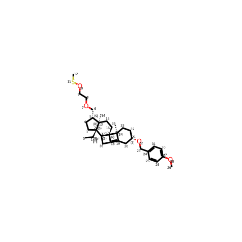 CC[C@@]12CC[C@H](COCCOSC)[C@@]1(C)CC[C@]13C(=C4C[C@@H](OCc5ccc(OC)cc5)CC[C@@]41C)C[C@@H]23